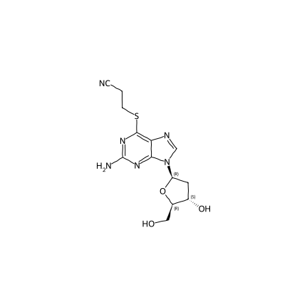 N#CCCSc1nc(N)nc2c1ncn2[C@H]1C[C@H](O)[C@@H](CO)O1